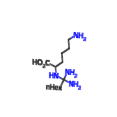 CCCCCCC(N)(N)NC(CCCCN)C(=O)O